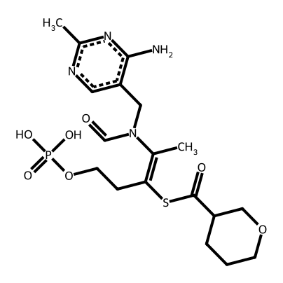 CC(=C(CCOP(=O)(O)O)SC(=O)C1CCCOC1)N(C=O)Cc1cnc(C)nc1N